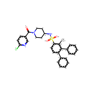 O=C(c1ccc(Cl)nc1)N1CCC(NS(=O)(=O)c2ccc(-c3ccccc3)c(-c3ccccc3)c2C(F)(F)F)CC1